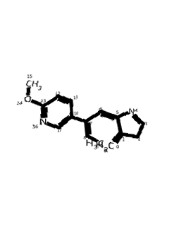 C=C1CC=N/C1=C/C(=C\C)c1ccc(OC)nc1